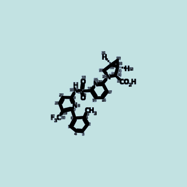 Cc1ccccc1-c1nc(NS(=O)(=O)c2cccc(N3C[C@H]4C[C@H]4[C@H]3C(=O)O)n2)ccc1C(F)(F)F